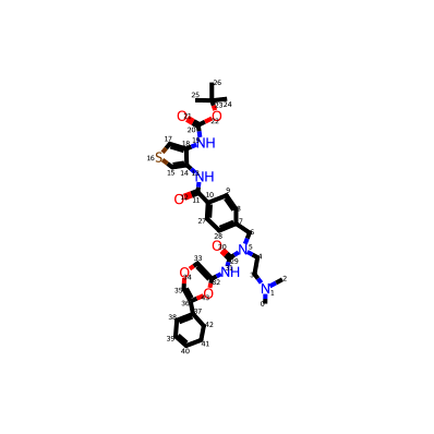 CN(C)CCN(Cc1ccc(C(=O)Nc2cscc2NC(=O)OC(C)(C)C)cc1)C(=O)NC1=COC=C(C2=CC=CCC2)O1